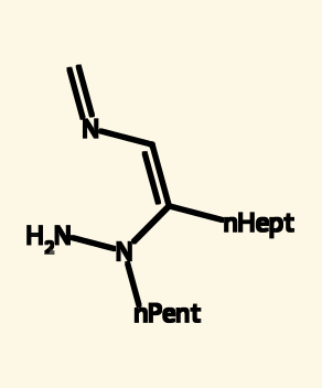 C=N/C=C(/CCCCCCC)N(N)CCCCC